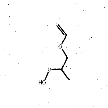 C=COCC(C)OO